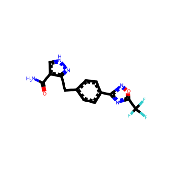 NC(=O)c1c[nH]nc1Cc1ccc(-c2noc(C(F)(F)F)n2)cc1